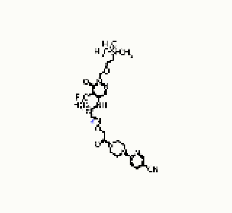 C[C@@H](/C=N/OCC(=O)N1CCN(c2ccc(C#N)cn2)CC1)Nc1cnn(COCC[Si](C)(C)C)c(=O)c1C(F)(F)F